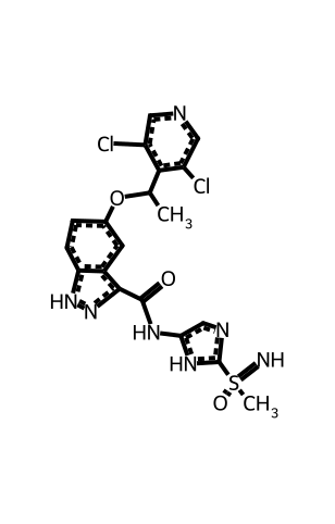 CC(Oc1ccc2[nH]nc(C(=O)Nc3cnc(S(C)(=N)=O)[nH]3)c2c1)c1c(Cl)cncc1Cl